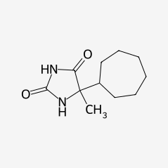 CC1(C2CCCCCC2)NC(=O)NC1=O